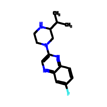 CC(C)C1CN(c2cnc3cc(F)ccc3n2)CCN1